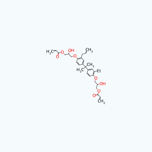 C=CCc1cc(C(C)(C)c2ccc(OCC(O)COC(=O)C=C)c(CC)c2)ccc1OCC(O)COC(=O)C=C